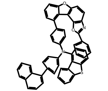 c1ccc(-c2nc3ccc4oc5cccc(-c6ccc(N(c7ccc(-c8cccc9ccccc89)cc7)c7cccc8sc9ccccc9c78)cc6)c5c4c3o2)cc1